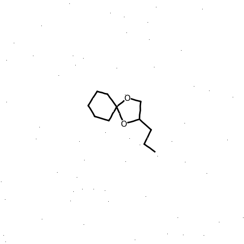 CCCC1COC2(CCCCC2)O1